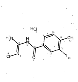 Cl.NC(=NCl)NC(=O)c1ccc(O)c(I)c1